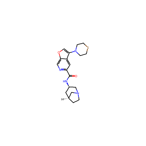 O=C(N[C@@H]1C[C@@H]2CCN(C2)C1)c1cc2c(N3CCSCC3)coc2cn1